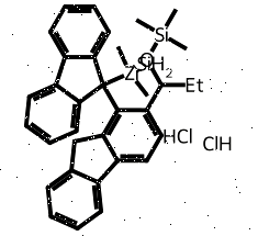 CCC(O[Si](C)(C)C)c1ccc2c(c1[C]1([Zr]([CH3])([CH3])=[SiH2])c3ccccc3-c3ccccc31)Cc1ccccc1-2.Cl.Cl